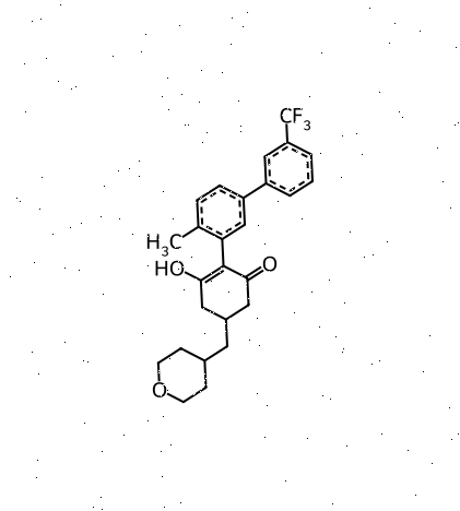 Cc1ccc(-c2cccc(C(F)(F)F)c2)cc1C1=C(O)CC(CC2CCOCC2)CC1=O